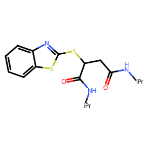 CC(C)NC(=O)CC(Sc1nc2ccccc2s1)C(=O)NC(C)C